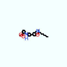 CCCCCCCC(=O)N(C)Cc1cccc(-c2ccc(Nc3ccccc3C(=O)OC)cc2)c1